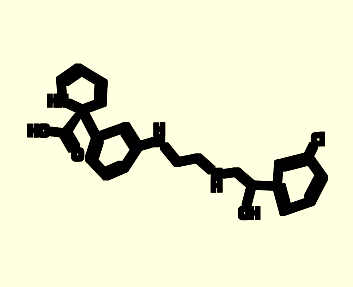 O=C(O)[C@]1(c2cccc(NCCNCC(O)c3cccc(Cl)c3)c2)C=CC=CN1